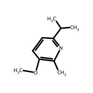 COc1ccc(C(C)C)nc1C